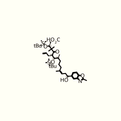 C=CC[C@@H](C(=O)C(C)(C)[C@H](CC(=O)O)O[Si](C)(C)C(C)(C)C)[C@@H](O[Si](C)(C)C(C)(C)C)[C@@H](C)CCCC(C)=CC[C@H](O)c1ccc2oc(C)nc2c1